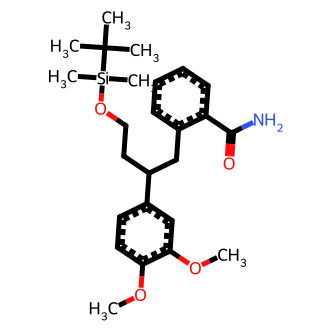 COc1ccc(C(CCO[Si](C)(C)C(C)(C)C)Cc2ccccc2C(N)=O)cc1OC